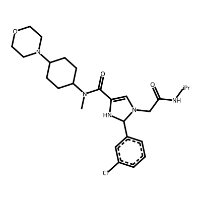 CC(C)NC(=O)CN1C=C(C(=O)N(C)C2CCC(N3CCOCC3)CC2)NC1c1cccc(Cl)c1